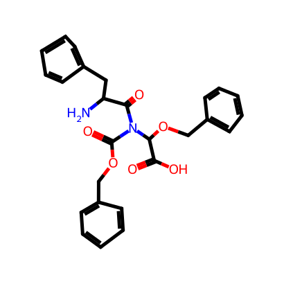 NC(Cc1ccccc1)C(=O)N(C(=O)OCc1ccccc1)C(OCc1ccccc1)C(=O)O